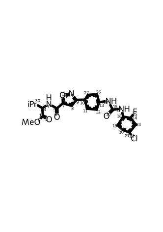 COC(=O)C(NC(=O)c1cc(-c2ccc(NC(=O)Nc3ccc(Cl)cc3F)cc2)no1)C(C)C